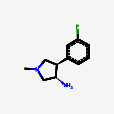 CN1C[C@@H](N)[C@H](c2cccc(F)c2)C1